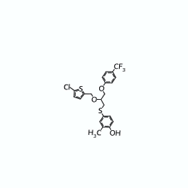 Cc1cc(SCC(COc2ccc(C(F)(F)F)cc2)OCc2ccc(Cl)s2)ccc1O